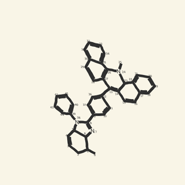 CC1CC=CC2C1N=C(c1ccc(C3=C4C=Cc5ccccc5C4N(C)c4c3ccc3ccccc43)cc1)N2c1ccccc1